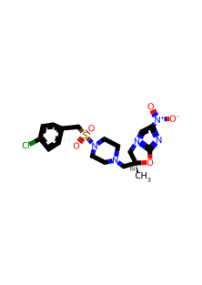 C[C@]1(CN2CCN(S(=O)(=O)Cc3ccc(Cl)cc3)CC2)Cn2cc([N+](=O)[O-])nc2O1